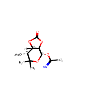 CO[C@@H]1[C@@H]2OC(=O)OC2[C@H](OC(=N)C(Cl)(Cl)Cl)OC1(C)C